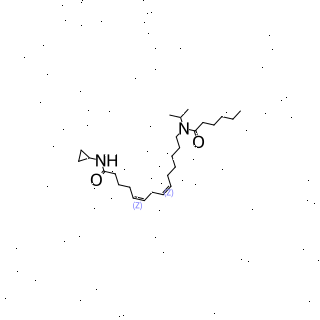 CCCCCC(=O)N(CCCCC/C=C\C/C=C\CCCC(=O)NC1CC1)C(C)C